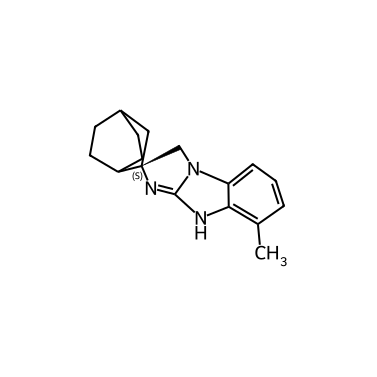 Cc1cccc2c1NC1=N[C@]3(CC4CCC3CC4)CN12